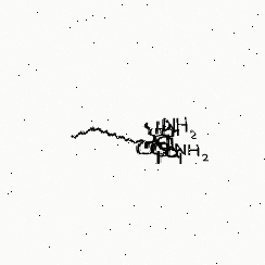 CCCCCCCCC=CCCCCCCCC(=O)C(C(=O)Oc1c(I)cc(I)c(N)c1I)C(CCCC)c1c(I)cc(I)c(N)c1I